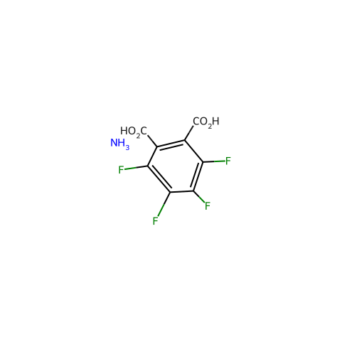 N.O=C(O)c1c(F)c(F)c(F)c(F)c1C(=O)O